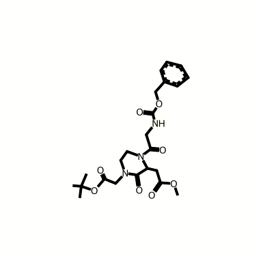 COC(=O)CC1C(=O)N(CC(=O)OC(C)(C)C)CCN1C(=O)CNC(=O)OCc1ccccc1